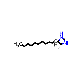 C1CNCN1.CCCCCCCCCCC